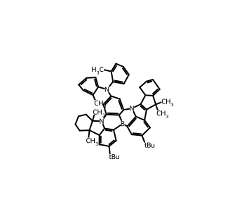 Cc1ccccc1N(c1cc2c3c(c1)-n1c4c(c5cc(C(C)(C)C)cc(c51)B3c1cc(C(C)(C)C)cc3c1N2C1(C)CCCCC31C)C(C)(C)C1=CC=CCC14)c1ccccc1C